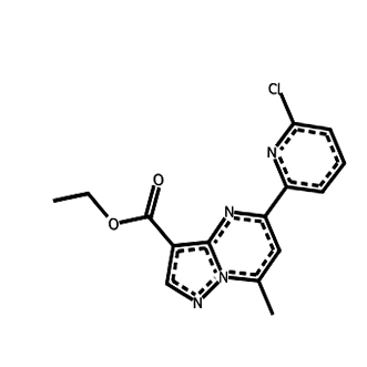 CCOC(=O)c1cnn2c(C)cc(-c3cccc(Cl)n3)nc12